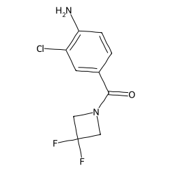 Nc1ccc(C(=O)N2CC(F)(F)C2)cc1Cl